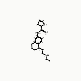 CCNCCN1CCCc2cc(NC(=N)C3CC=CS3)ccc21